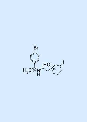 C[C@H](NCC[C@]1(O)CCCC(I)C1)c1ccc(Br)cc1